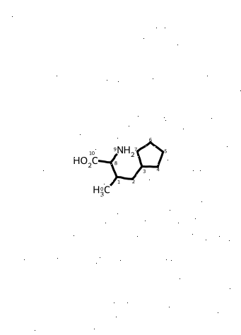 CC(CC1CCCC1)C(N)C(=O)O